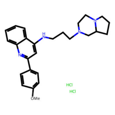 COc1ccc(-c2cc(NCCCN3CCN4CCCC4C3)c3ccccc3n2)cc1.Cl.Cl